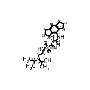 CC(C)N(CCNS(=O)(=O)c1nnc(Nc2c3c(cc4c2CCC4)CCC3)[nH]1)C(C)C